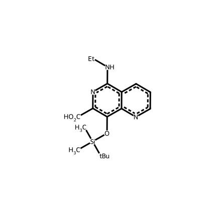 CCNc1nc(C(=O)O)c(O[Si](C)(C)C(C)(C)C)c2ncccc12